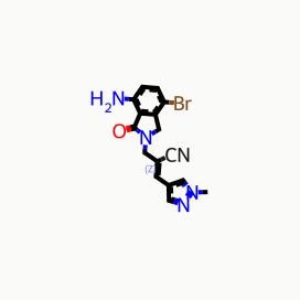 Cn1cc(/C=C(\C#N)CN2Cc3c(Br)ccc(N)c3C2=O)cn1